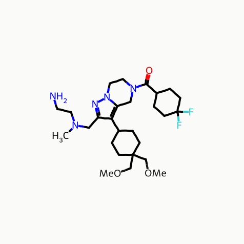 COCC1(COC)CCC(c2c(CN(C)CCN)nn3c2CN(C(=O)C2CCC(F)(F)CC2)CC3)CC1